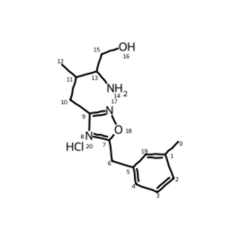 Cc1cccc(Cc2nc(CC(C)C(N)CO)no2)c1.Cl